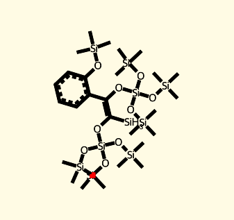 C[Si](C)(C)Oc1ccccc1C(O[Si](O[Si](C)(C)C)(O[Si](C)(C)C)O[Si](C)(C)C)=C([SiH3])O[Si](O[Si](C)(C)C)(O[Si](C)(C)C)O[Si](C)(C)C